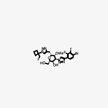 CO[C@@H]1[C@@H](n2cc(-c3ccc(Br)c(F)c3F)nn2)[C@@H](O)[C@@H](CO)O[C@@H]1Cc1cn(C2(CF)CCC2)nn1